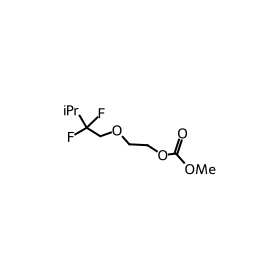 COC(=O)OCCOCC(F)(F)C(C)C